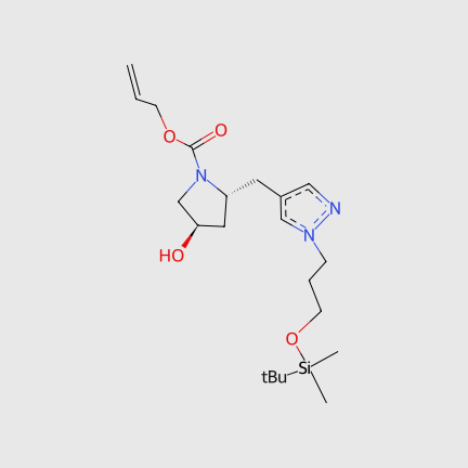 C=CCOC(=O)N1C[C@H](O)C[C@H]1Cc1cnn(CCCO[Si](C)(C)C(C)(C)C)c1